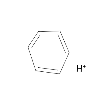 [H+].c1ccccc1